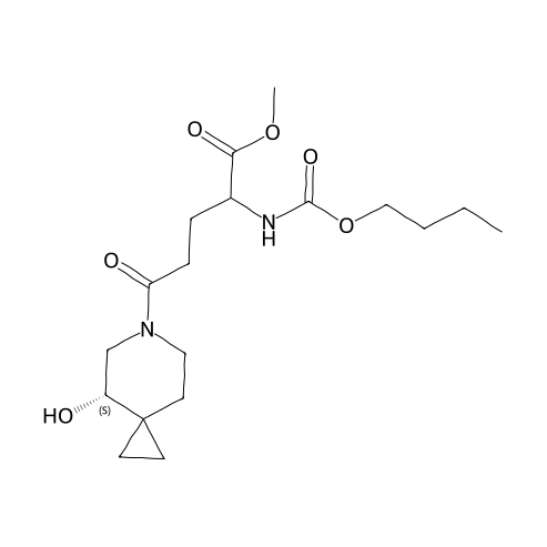 CCCCOC(=O)NC(CCC(=O)N1CCC2(CC2)[C@H](O)C1)C(=O)OC